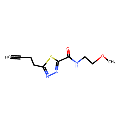 C#CCCc1nnc(C(=O)NCCOC)s1